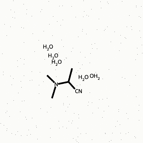 CC(C#N)N(C)C.O.O.O.O.O